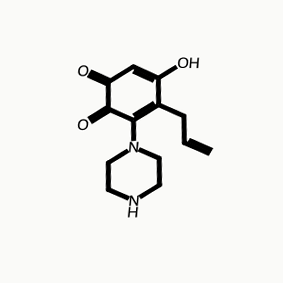 C=CCC1=C(N2CCNCC2)C(=O)C(=O)C=C1O